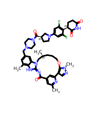 Cc1cc2cc(n1)-c1cnn(C)c1OCCC[C@@H](C)CN1/C(=N/C2=O)Nc2c(C)cc(CN3CCN(C(=O)[C@@H]4CCN(c5cc(F)c([C@H]6CCC(=O)NC6=O)c(F)c5)C4)CC3)cc21